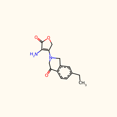 CCc1ccc2c(c1)CN(C1=C(N)C(=O)OC1)CC2=O